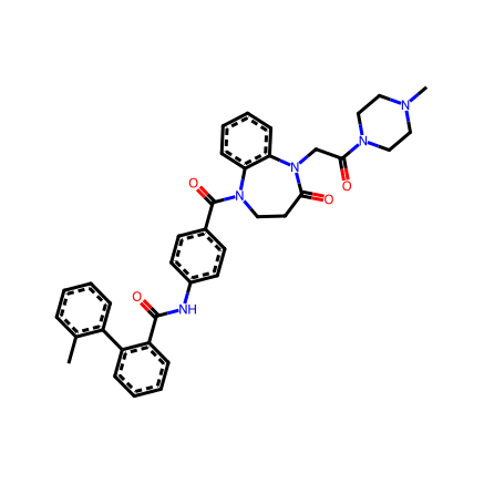 Cc1ccccc1-c1ccccc1C(=O)Nc1ccc(C(=O)N2CCC(=O)N(CC(=O)N3CCN(C)CC3)c3ccccc32)cc1